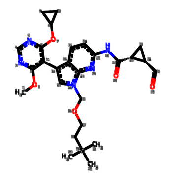 COc1ncnc(OC2CC2)c1-c1cn(COCC[Si](C)(C)C)c2nc(NC(=O)[C@@H]3C[C@H]3C=O)ccc12